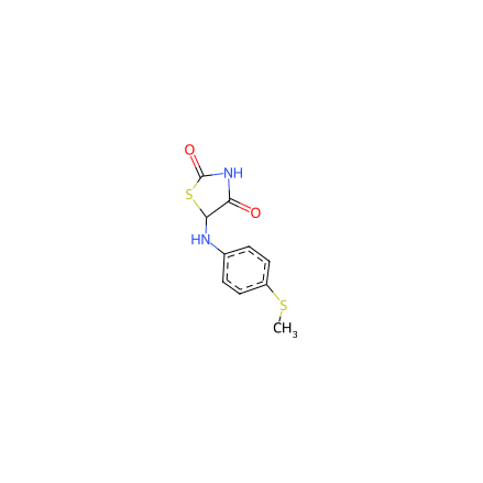 CSc1ccc(NC2SC(=O)NC2=O)cc1